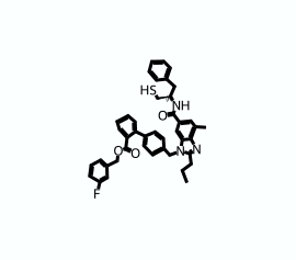 CCCc1nc2c(C)cc(C(=O)N[C@@H](CS)Cc3ccccc3)cc2n1Cc1ccc(-c2ccccc2C(=O)OCc2cccc(F)c2)cc1